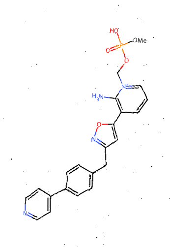 COP(=O)(O)OC[n+]1cccc(-c2cc(Cc3ccc(-c4ccncc4)cc3)no2)c1N